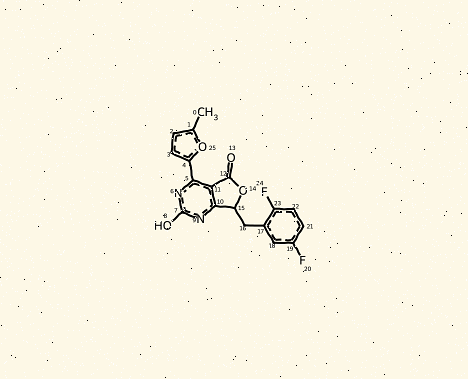 Cc1ccc(-c2nc(O)nc3c2C(=O)OC3Cc2cc(F)ccc2F)o1